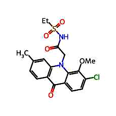 CCS(=O)(=O)NC(=O)Cn1c2cc(C)ccc2c(=O)c2ccc(Cl)c(OC)c21